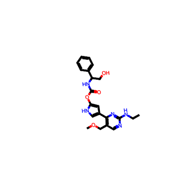 CCNc1ncc(COC)c(-c2c[nH]c(OC(=O)NC(CO)c3ccccc3)c2)n1